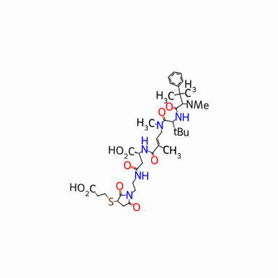 CNC(C(=O)NC(C(=O)N(C)C/C=C(\C)C(=O)N[C@@H](CC(=O)NCCN1C(=O)CC(SCCC(=O)O)C1=O)C(=O)O)C(C)(C)C)C(C)(C)c1ccccc1